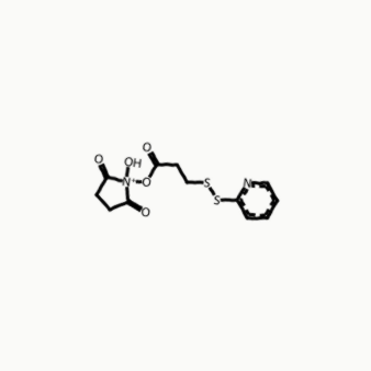 O=C(CCSSc1ccccn1)O[N+]1(O)C(=O)CCC1=O